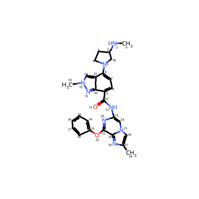 CNC1CCN(c2ccc(C(=O)Nc3cn4cc(C)nc4c(Oc4ccccc4)n3)c3nn(C)cc23)C1